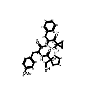 COc1ccc(CC(NC(=O)C2(CO)CCCN2)C(=O)NC(Cc2ccccc2)C(=O)C2(C)CC2)cc1